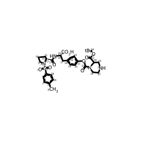 Cc1ccc(S(=O)(=O)N2CCC[C@H]2C(=O)N[C@@H](Cc2ccc(OC(=O)N3CCNCC3C(=O)OC(C)(C)C)cc2)C(=O)O)cc1